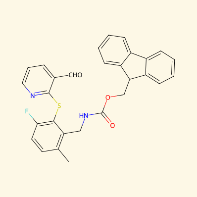 Cc1ccc(F)c(Sc2ncccc2C=O)c1CNC(=O)OCC1c2ccccc2-c2ccccc21